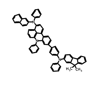 CC1(C)c2ccccc2-c2ccc(N(c3ccccc3)c3ccc(-c4ccc5c(c4)N(c4ccccc4)c4cccc6c(N(c7ccccc7)c7ccc8ccccc8c7)ccc-5c46)cc3)cc21